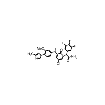 COc1cc(Nc2cc(Cl)cn(C(C(N)=O)c3cc(F)c(F)c(F)c3)c2=O)ccc1-n1cnc(C)c1